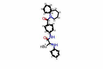 CCCCC(Nc1ccccc1)C(=O)Nc1ccc(C(=O)N2CCCCc3ccccc32)cc1